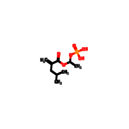 C=C(CC(C)C)C(=O)OC(C)OP(=O)(O)O